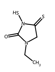 CCN1CC(=S)N(S)C1=O